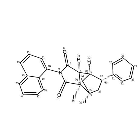 O=C1[C@@H]2[C@H]3C[C@@H]([C@@H]2C(=O)N1c1cccc2ccccc12)[C@H](c1ccccc1)C3